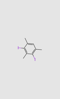 Cc1cc(C)c(I)c(C)c1I